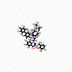 [2H]C1=C(SC([2H])([2H])c2c([2H])c([2H])c([2H])c(F)c2F)N(C([2H])([2H])C(=O)N(Cc2c([2H])c([2H])c(-c3c([2H])c([2H])c(C(F)(F)F)c([2H])c3[2H])c([2H])c2C)C2([2H])C([2H])([2H])C([2H])([2H])N(CC([2H])([2H])OC([2H])([2H])[2H])C([2H])([2H])C2([2H])[2H])c2c([2H])c([2H])c([2H])c([2H])c2C1O